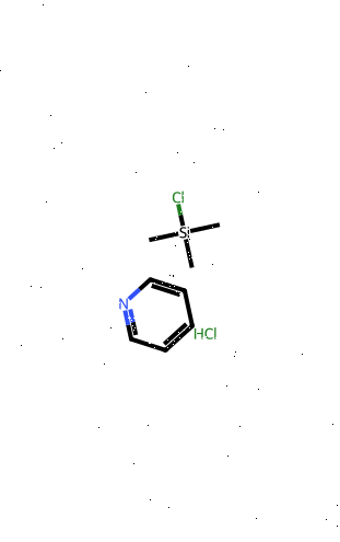 C[Si](C)(C)Cl.Cl.c1ccncc1